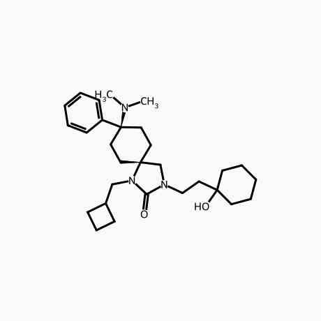 CN(C)[C@]1(c2ccccc2)CC[C@@]2(CC1)CN(CCC1(O)CCCCC1)C(=O)N2CC1CCC1